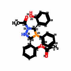 CC(=O)Oc1ccccc1[C@@H]1NN(C(C)=O)[C@H](c2ccccc2O)P1c1ccccc1